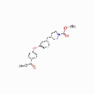 COC(=O)c1ccc(Oc2cccc(C=C3CCN(C(=O)OC(C)(C)C)CC3)c2)cc1